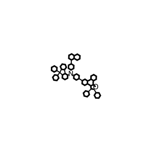 c1ccc(-c2oc3c4ccccc4c4cc(-c5ccc(N(c6ccc(-c7cccc8ccccc78)cc6)c6cccc7c6-c6ccccc6C7(c6ccccc6)c6ccccc6)cc5)ccc4c3c2-c2ccccc2)cc1